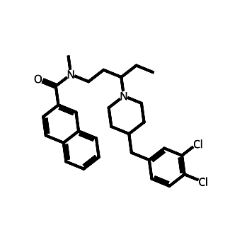 CCC(CCN(C)C(=O)c1ccc2ccccc2c1)N1CCC(Cc2ccc(Cl)c(Cl)c2)CC1